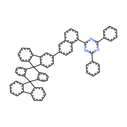 c1ccc(-c2nc(-c3ccccc3)nc(-c3cccc4cc(-c5ccc6c(c5)-c5ccccc5C65c6ccccc6C6(c7ccccc7-c7ccccc76)c6ccccc65)ccc34)n2)cc1